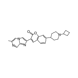 Cc1cn2cc(-c3cc4ccc(C5CCN(C6CCC6)CC5)cc4oc3=O)nc2cn1